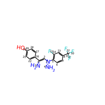 N/C(=C\N(N)c1ccc(C(F)(F)F)cc1F)c1ccc(O)cc1